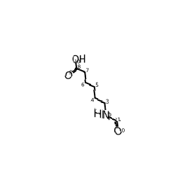 O=[C]NCCCCCC(=O)O